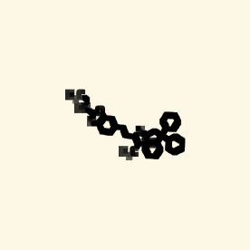 CCNc1nc2ccc(C=Cc3nc(CC(c4ccccc4)(c4ccccc4)c4ccccc4)[nH]c3C)cc2o1